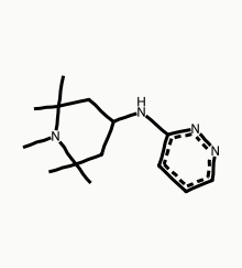 CN1C(C)(C)CC(Nc2cccnn2)CC1(C)C